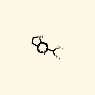 CC(C)c1cc2c(cn1)CCN2